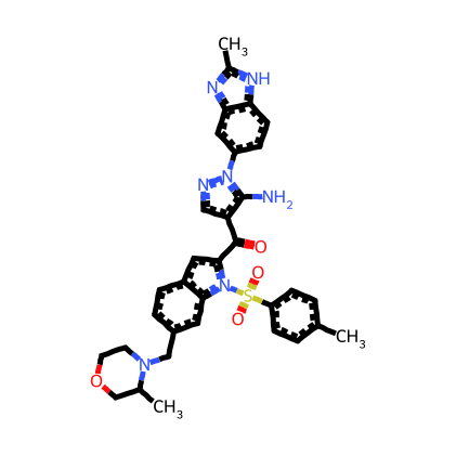 Cc1ccc(S(=O)(=O)n2c(C(=O)c3cnn(-c4ccc5[nH]c(C)nc5c4)c3N)cc3ccc(CN4CCOCC4C)cc32)cc1